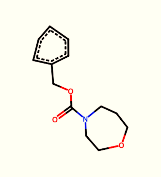 O=C(OCc1ccccc1)N1CCCOCC1